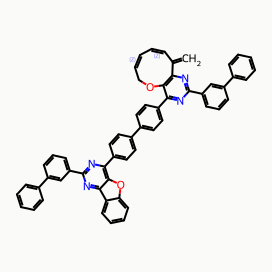 C=C1/C=C\C=C/COc2c1nc(-c1cccc(-c3ccccc3)c1)nc2-c1ccc(-c2ccc(-c3nc(-c4cccc(-c5ccccc5)c4)nc4c3oc3ccccc34)cc2)cc1